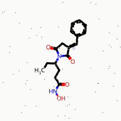 CCC(CCC(=O)NO)N1C(=O)C/C(=C\c2ccccc2)C1=O